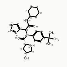 CC(C)(C)c1ccc(N(C(=O)[C@H]2C[C@@H](O)CN2)C(C(=O)NC2CCCCC2)c2c[nH]nn2)cc1